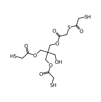 O=C(CS)OCC(CO)(COC(=O)CS)COC(=O)CSC(=O)CS